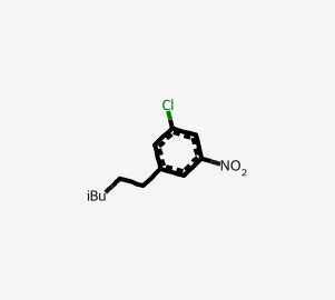 [CH2]C(CC)CCc1cc(Cl)cc([N+](=O)[O-])c1